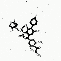 C=CC(=O)N1[C@H](C)CN(c2nc(=O)n3c4c(c(-c5ccc(F)cc5)c(C(F)(F)F)cc24)SC[C@@H]3CN2C[C@@H]3C[C@H]2CO3)C[C@@H]1C